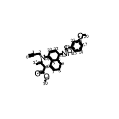 C#CCN(C1=C2C=CCCC2C(NSc2cccc(OC)c2)C=C1)C(C)CC(=O)OC